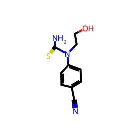 N#Cc1ccc(N(CCO)C(N)=S)cc1